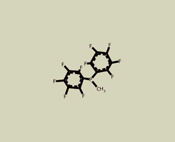 CP(c1c(F)c(F)c(F)c(F)c1F)c1c(F)c(F)c(F)c(F)c1F